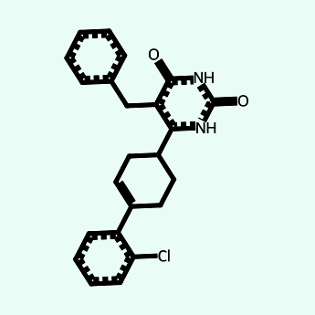 O=c1[nH]c(C2CC=C(c3ccccc3Cl)CC2)c(Cc2ccccc2)c(=O)[nH]1